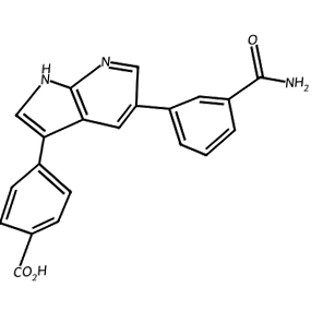 NC(=O)c1cccc(-c2cnc3[nH]cc(-c4ccc(C(=O)O)cc4)c3c2)c1